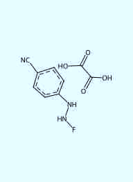 N#Cc1ccc(NNF)cc1.O=C(O)C(=O)O